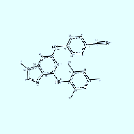 Cc1cc(C)c(Nc2nc(Nc3ccc(C#N)cc3)nc3c2ncn3C)c(C)c1